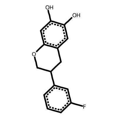 Oc1cc2c(cc1O)OCC(c1cccc(F)c1)C2